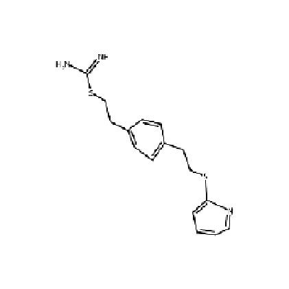 N=C(N)SCCc1ccc(CCSc2ccccn2)cc1